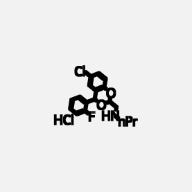 CCCNCC1Oc2ccc(Cl)cc2C(c2ccccc2F)O1.Cl